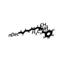 CCCCCCCCCCCCCCCCCC(C)(C)NCc1ccccc1